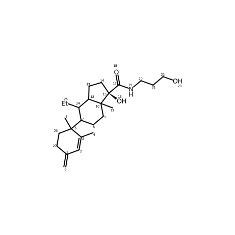 C=C1C=C(C)C(C)(C2CCC3(C)C(CC[C@]3(O)C(=O)NCCCO)C2CC)CC1